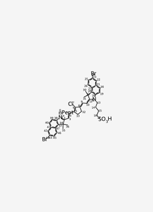 CCCCC[N+]1=C(/C=C/C2=C(Cl)C(=C/C=C3/N(CCCCS(=O)(=O)O)c4ccc5cc(Br)ccc5c4C3(C)C)/CC2)C(C)(C)c2c1ccc1cc(Br)ccc21